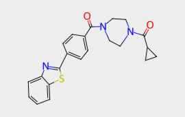 O=C(c1ccc(-c2nc3ccccc3s2)cc1)N1CCN(C(=O)C2CC2)CC1